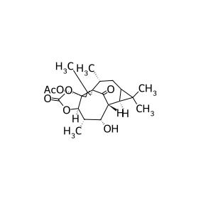 CC(=O)O[C@H]1C(C)=C[C@]23C(=O)[C@@H]([C@H](O)[C@H](C)[C@H]4OC(=O)OC412)[C@H]1C(C[C@H]3C)C1(C)C